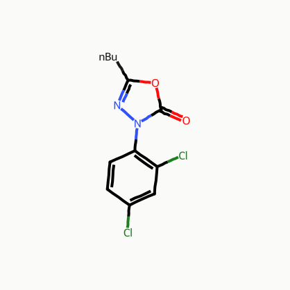 CCCCc1nn(-c2ccc(Cl)cc2Cl)c(=O)o1